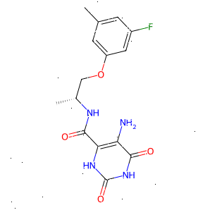 Cc1cc(F)cc(OC[C@@H](C)NC(=O)c2[nH]c(=O)[nH]c(=O)c2N)c1